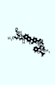 CCCN(Cc1nc2ccc3cc4c(cc3c2[nH]1)OCc1cc(-c2cnc(CN(CCC)C(=O)[C@H](NC(=O)C3CC3)c3ccccc3)[nH]2)ccc1-4)C(=O)CNC=O